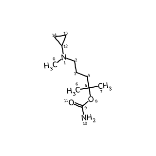 CN(CCCC(C)(C)OC(N)=O)C1CC1